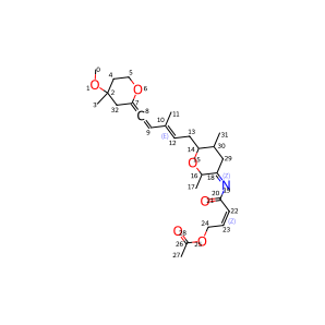 COC1(C)CCOC(=C=C/C(C)=C/CC2OC(C)/C(=N\C(=O)/C=C\COC(C)=O)CC2C)C1